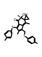 CC1=C(CSc2ccc(C)cc2)C2=C(C)C3(CC3)[C@@](C)(O)C(=O)C2=C1Sc1ccc(C)cc1